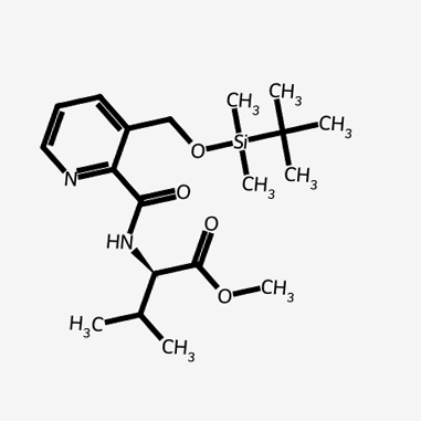 COC(=O)[C@H](NC(=O)c1ncccc1CO[Si](C)(C)C(C)(C)C)C(C)C